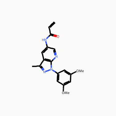 C=CC(=O)Nc1cnc2c(c1)c(C)nn2-c1cc(OC)cc(OC)c1